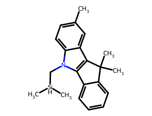 Cc1ccc2c(c1)c1c(n2C[SiH](C)C)-c2ccccc2C1(C)C